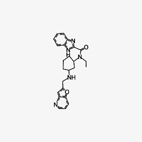 CCN(C(=O)c1nc2ccccc2[nH]1)C1CCCC(NCc2cc3ncccc3o2)C1